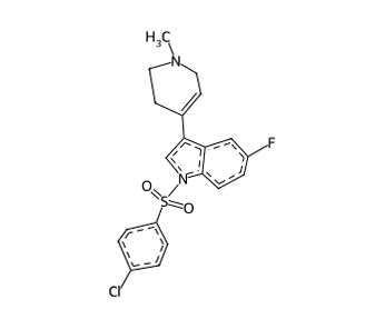 CN1CC=C(c2cn(S(=O)(=O)c3ccc(Cl)cc3)c3ccc(F)cc23)CC1